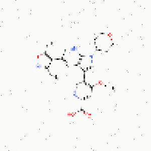 COc1cc(C(=O)O)ncc1-c1cn(C2CCOCC2)c2ncc(-c3c(C)noc3C)cc12